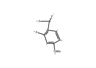 COc1[c]c(F)c(C(F)F)cc1